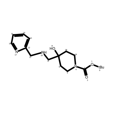 CC(C)(C)OC(=O)N1CCC(O)(CNCc2ccccn2)CC1